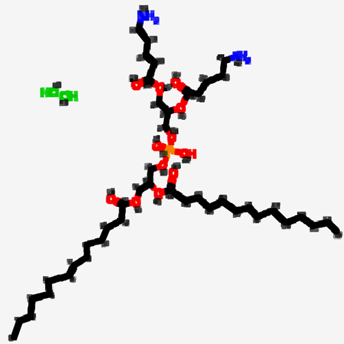 CCCCCCCCCCCCCC(=O)OCC(COP(=O)(O)OCC(COC(=O)CCCCN)OC(=O)CCCCN)OC(=O)CCCCCCCCCCCCC.Cl.Cl